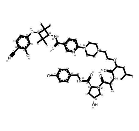 CC(C)CC(OCCN1CCN(c2ccc(C(=O)N[C@H]3C(C)(C)[C@H](Oc4ccc(C#N)c(Cl)c4)C3(C)C)cn2)CC1)C(=O)NC(C)C(=O)N1C[C@H](O)C[C@H]1C(=O)NCc1ccc(Cl)cc1